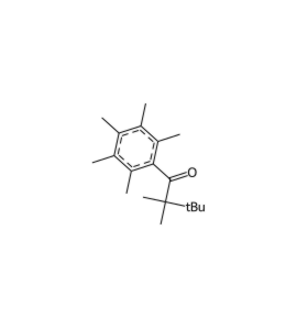 Cc1c(C)c(C)c(C(=O)C(C)(C)C(C)(C)C)c(C)c1C